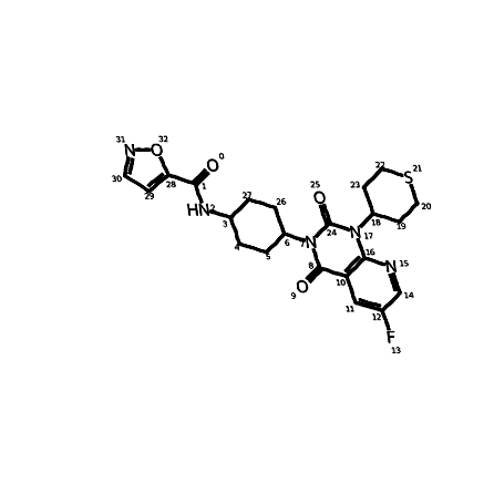 O=C(NC1CCC(n2c(=O)c3cc(F)cnc3n(C3CCSCC3)c2=O)CC1)c1ccno1